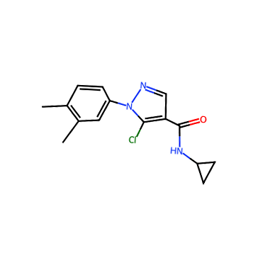 Cc1ccc(-n2ncc(C(=O)NC3CC3)c2Cl)cc1C